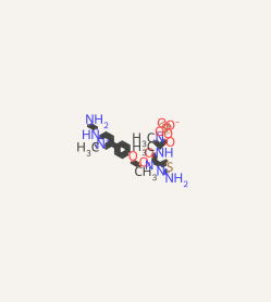 CC(COc1ccc(-c2ccc(NCCN)[n+](C)c2)cc1)O/N=C(\C(=O)N[C@@H]1C(=O)N(OS(=O)(=O)[O-])C1(C)C)c1csc(N)n1